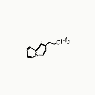 CCCC1[C]=C2C=CC=CN2C=C1